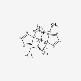 CC[N](C)[Hf]([N](C)CC)([C]1(C)C=CC=C1)[C]1(C)C=CC=C1